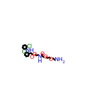 NCCOCCOCC(=O)NCCOC(=O)Cc1ccccc1Nc1c(Cl)cccc1Cl